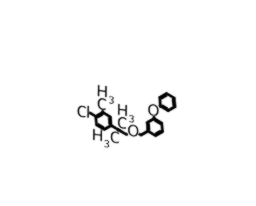 Cc1cc(C(C)(C)COCc2cccc(Oc3ccccc3)c2)ccc1Cl